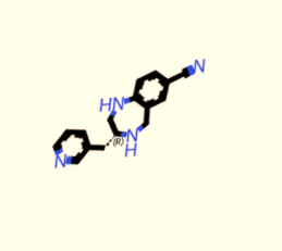 N#Cc1ccc2c(c1)CN[C@H](Cc1cccnc1)CN2